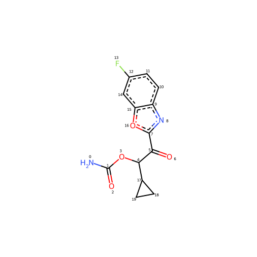 NC(=O)OC(C(=O)c1nc2ccc(F)cc2o1)C1CC1